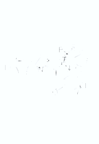 CC1(C)CC(=O)c2cc(-c3nc(-c4ccc(F)cc4)cs3)c(=O)n(-c3ccccc3C(F)(F)F)c2C1